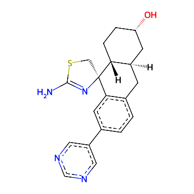 NC1=N[C@]2(CS1)c1cc(-c3cncnc3)ccc1C[C@@H]1C[C@@H](O)CC[C@H]12